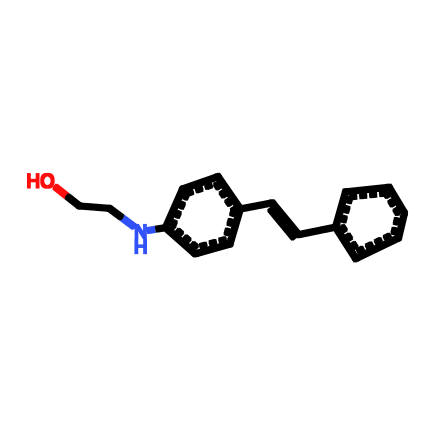 OCCNc1ccc(/C=C/c2ccccc2)cc1